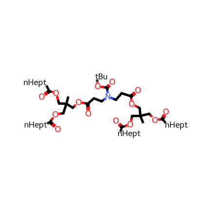 CCCCCCCC(=O)OCC(C)(COC(=O)CCCCCCC)COC(=O)CCN(CCC(=O)OCC(C)(COC(=O)CCCCCCC)COC(=O)CCCCCCC)C(=O)OC(C)(C)C